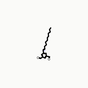 CCCCCCCCCC/C=C/c1cc(C=O)[c]c(C=O)c1